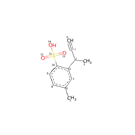 C#CC(C)c1cc(C)ccc1S(=O)(=O)O